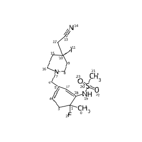 CC1(F)CC=C(CN2CCC(I)(CC#N)CC2)C=C1NS(C)(=O)=O